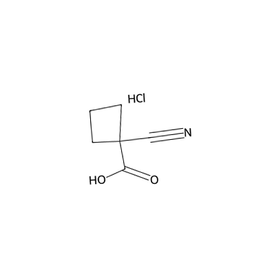 Cl.N#CC1(C(=O)O)CCC1